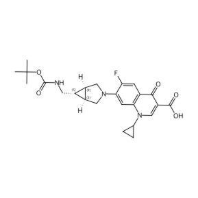 CC(C)(C)OC(=O)NC[C@@H]1[C@H]2CN(c3cc4c(cc3F)c(=O)c(C(=O)O)cn4C3CC3)C[C@@H]12